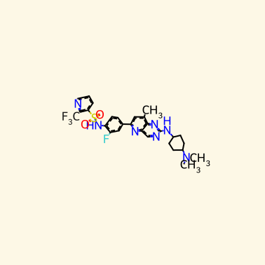 Cc1cc(-c2ccc(NS(=O)(=O)c3cccnc3C(F)(F)F)c(F)c2)nc2cnc(NC3CCC(N(C)C)CC3)nc12